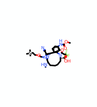 CN[C@H]1CCCC[C@H](C(=O)O)N(C(=O)C(F)(F)F)c2cc(NC(=O)OC)ccc2-c2nc1n(COCC[Si](C)(C)C)c2C#N